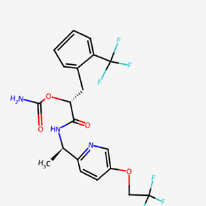 C[C@@H](NC(=O)[C@@H](Cc1ccccc1C(F)(F)F)OC(N)=O)c1ccc(OCC(F)(F)F)cn1